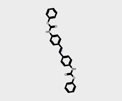 O=C(Nc1ccc(/C=C/c2ccc(NC(=O)Oc3ccccc3)cc2)cc1)Oc1ccccc1